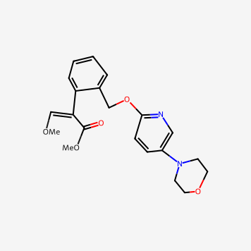 COC=C(C(=O)OC)c1ccccc1COc1ccc(N2CCOCC2)cn1